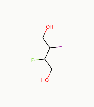 OCC(F)C(I)CO